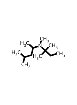 CCC(C)(C)N(C)C(C)CC(C)C